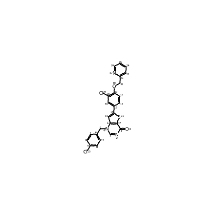 O=c1ncn(Cc2ccc(Cl)cc2)c2cc(-c3ccc(OCc4ccccn4)c(Cl)c3)sc12